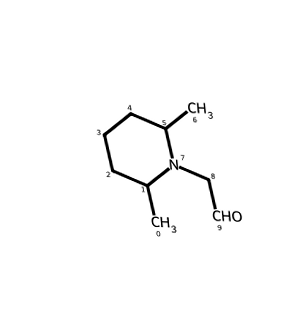 CC1CCCC(C)N1CC=O